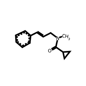 CN(C/C=C/c1ccccc1)C(=O)C1CC1